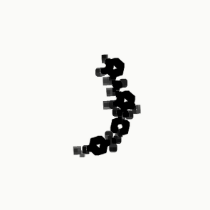 Cc1ccc(S(=O)(=O)ON2CCN(S(=O)(=O)c3c(Cl)ccc(NC(=O)Nc4cccc(F)c4Cl)c3O)CC2)cc1